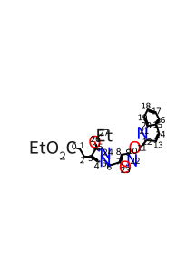 CCOC(=O)CCc1cn(Cc2cc(OCc3ccc4ccccc4n3)no2)nc1OCC